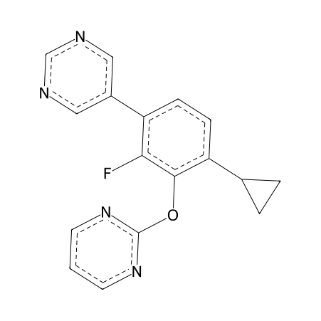 Fc1c(-c2cncnc2)ccc(C2CC2)c1Oc1ncccn1